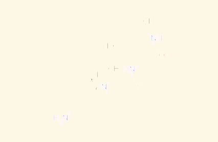 CSc1cc(C)[nH]c(=O)c1CNC(=O)c1c(C)n([C@H](C)C2CCC(N)CC2)c2ccccc12